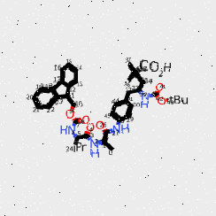 CC(NC(=O)C(NC(=O)OCC1c2ccccc2-c2ccccc21)C(C)C)C(=O)Nc1ccc(CC(CC(C)(C)C(=O)O)NC(=O)OC(C)(C)C)cc1